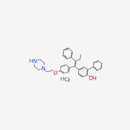 CCC(=C(c1ccc(OCCN2CCNCC2)cc1)c1ccc(O)c(-c2ccccc2)c1)c1ccccc1.Cl